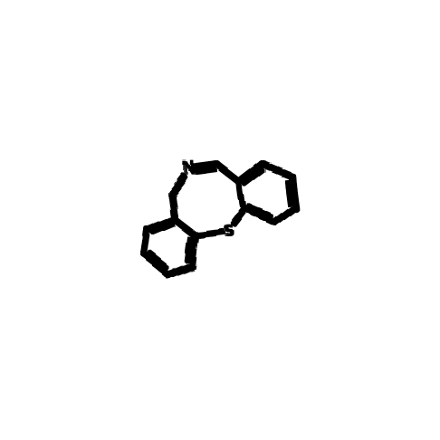 C1=NCc2ccccc2Sc2ccccc21